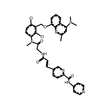 Cc1cc(N(C)C)c2cccc(OCc3c(Cl)ccc(N(C)C(=O)CNC(=O)/C=C/c4ccc(C(=O)Nc5ccncc5)nc4)c3Cl)c2n1